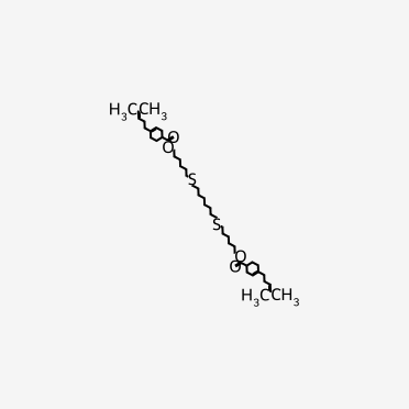 CC(C)=CCCC1=CCC(C(=O)OCCCCCCSCCCCCCCCSCCCCCCOC(=O)C2CC=C(CCC=C(C)C)CC2)CC1